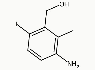 Cc1c(N)ccc(I)c1CO